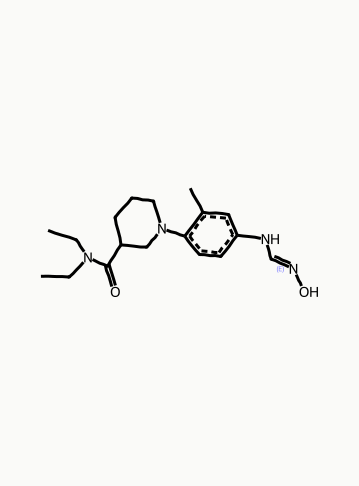 CCN(CC)C(=O)C1CCCN(c2ccc(N/C=N/O)cc2C)C1